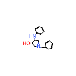 O[C@@H]1CN(Cc2ccccc2)C[C@H]1Nc1ccccc1